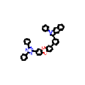 c1ccc(-c2nc(-c3ccccc3)nc(-c3ccc4c(c3)Oc3cc(-c5cccc(-c6cn(-c7ccccc7)c7cc8ccccc8cc67)c5)ccc3O4)n2)cc1